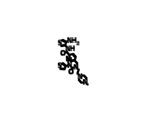 CN1CCN(CCN(Cc2ccc(C(=O)Nc3cscc3N)nc2)C(=O)Nc2ccsc2)CC1